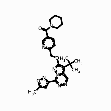 Cc1cc(-c2nncc3c(C(C)(C)C)c(OCc4ccc(C(=O)N5CCCCC5)cn4)nn23)no1